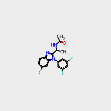 CC(=O)NC(C)c1nc2ccc(Cl)cc2n1-c1cc(F)cc(F)c1